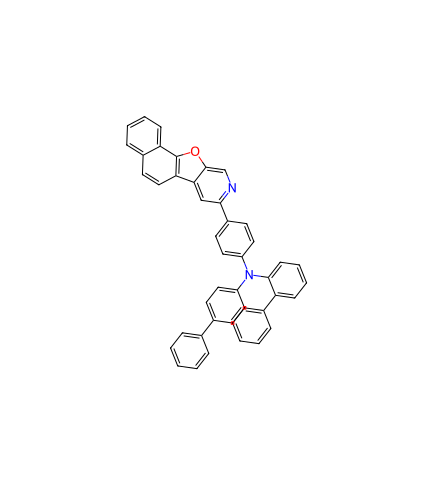 c1ccc(-c2ccc(N(c3ccc(-c4cc5c(cn4)oc4c6ccccc6ccc54)cc3)c3ccccc3-c3ccccc3)cc2)cc1